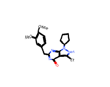 CCc1[nH]n(C2CCCC2)c2nc(Cc3ccc(OC)c(OC)c3)nc(=O)c1-2